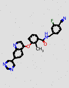 Cc1c(Oc2ccnc3cc(-c4cncnc4)ccc23)cccc1C(=O)NCc1ccc(C#N)c(F)c1